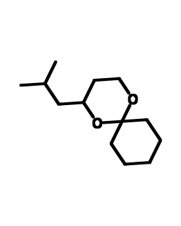 CC(C)CC1CCOC2(CCCCC2)O1